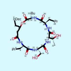 CCCCCCCCCCCC1CC(=O)N[C@H](CC(C)C)C(=O)N[C@@H](CO)C(=O)N[C@@H]([C@@H](C)O)C(=O)N[C@H](CC(C)C)C(=O)N[C@@H]([C@@H](C)CC)C(=O)O1